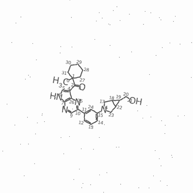 CC1(C(=O)c2c[nH]c3ncc(-c4cccc(N5CC6C(CO)C6C5)c4)nc23)CCCCC1